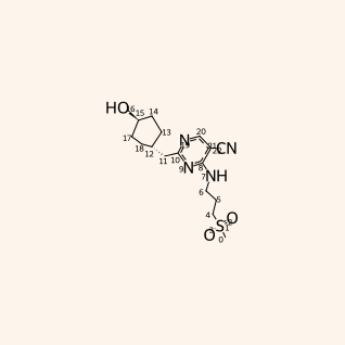 CS(=O)(=O)CCCNc1nc(C[C@H]2CC[C@H](O)CC2)ncc1C#N